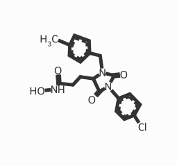 Cc1ccc(CN2C(=O)N(c3ccc(Cl)cc3)C(=O)C2CCC(=O)NO)cc1